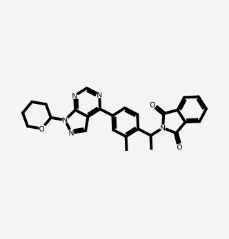 Cc1cc(-c2ncnc3c2cnn3C2CCCCO2)ccc1C(C)N1C(=O)c2ccccc2C1=O